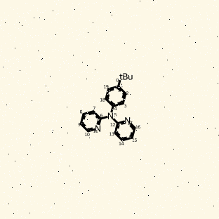 CC(C)(C)c1ccc(N(c2ccccn2)c2ccccn2)cc1